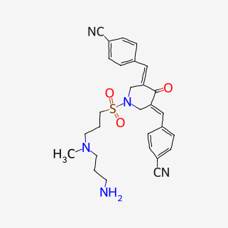 CN(CCCN)CCCS(=O)(=O)N1C/C(=C\c2ccc(C#N)cc2)C(=O)/C(=C/c2ccc(C#N)cc2)C1